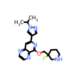 CC(C)n1cc(-c2cc3nccnc3c(OCC3(F)CCCNC3)n2)cn1